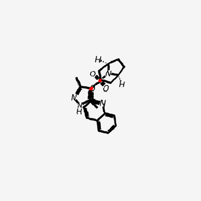 Cc1n[nH]c(C)c1S(=O)(=O)N1[C@@H]2CC[C@H]1CC(Oc1ccc3ccccc3n1)C2